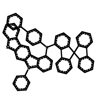 c1ccc(-c2ccc(N(c3cccc4c3-c3ccccc3C43c4ccccc4-c4ccccc43)c3cccc4c3c3cc5c(cc3n4-c3ccccc3)sc3ccccc35)cc2)cc1